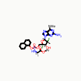 CNc1nc(N)nc2c1ncn2[C@@H]1O[C@](F)(CO[P@](=O)(N[C@@H](C)C(=O)OC(C)C)Oc2cccc3ccccc23)[C@@H](O)[C@@]1(C)F